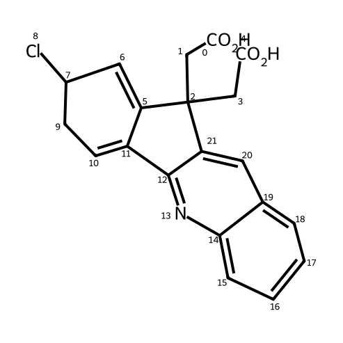 O=C(O)CC1(CC(=O)O)C2=CC(Cl)CC=C2c2nc3ccccc3cc21